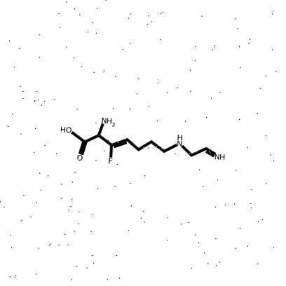 N=CCNCCCC=C(F)C(N)C(=O)O